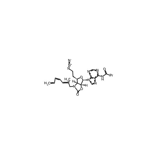 C=C/C=C\C=C(/C)CN1C(=O)O[C@@H]2[C@H]1[C@@H](CCN=[N+]=[N-])O[C@H]2n1cnc2c(NC(=O)C(C)C)ncnc21